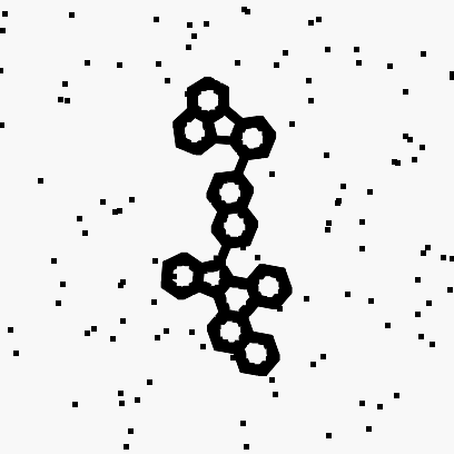 c1cc(-c2ccc3cc(-n4c5ccccc5c5c6ccc7ccccc7c6c6ccccc6c54)ccc3c2)c2c(c1)-c1cccc3cccc-2c13